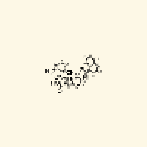 Cc1cccc(C)c1C(=O)N[C@@H](Cc1ccc(NC(=O)c2ccnc3ccccc23)cc1)C(=O)O